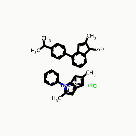 CC1=C2c3cc(C)n(-c4ccccc4)c3C1[Si]2(C)C.CC1=Cc2c(-c3ccc(C(C)C)cc3)cccc2[CH]1[Zr+2].[Cl-].[Cl-]